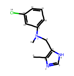 Cc1nc[nH]c1CN(C)c1cccc(Cl)c1